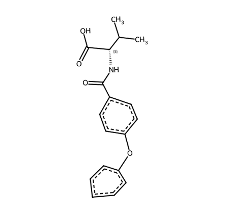 CC(C)[C@H](NC(=O)c1ccc(Oc2ccccc2)cc1)C(=O)O